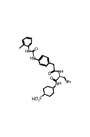 Cc1ccccc1NC(=O)Nc1ccc(CC(=O)N[C@@H](CC(C)C)C(=O)NC2CCC(C(=O)O)CC2)cc1